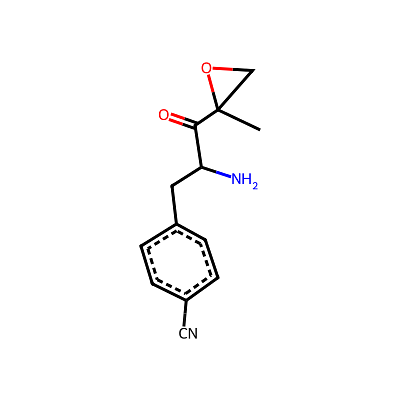 CC1(C(=O)C(N)Cc2ccc(C#N)cc2)CO1